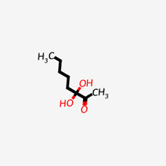 CCCCCC(O)(O)C(C)=O